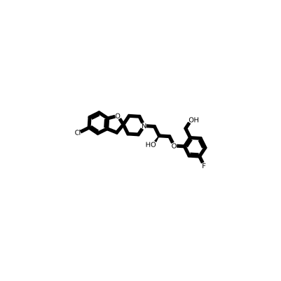 OCc1ccc(F)cc1OC[C@@H](O)CN1CCC2(CC1)Cc1cc(Cl)ccc1O2